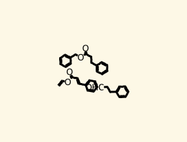 C=COC(=O)C=Cc1ccccc1.O=C(CCc1ccccc1)OCc1ccccc1.O=CCCc1ccccc1